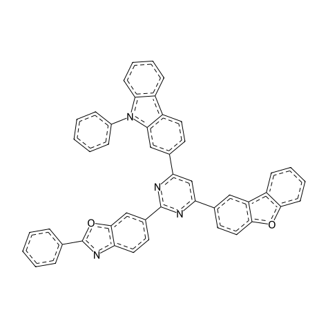 c1ccc(-c2nc3ccc(-c4nc(-c5ccc6oc7ccccc7c6c5)cc(-c5ccc6c7ccccc7n(-c7ccccc7)c6c5)n4)cc3o2)cc1